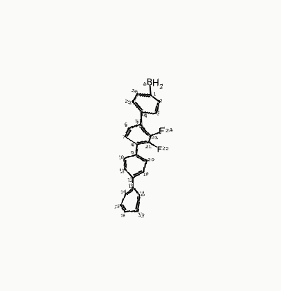 Bc1ccc(-c2ccc(-c3ccc(-c4ccccc4)cc3)c(F)c2F)cc1